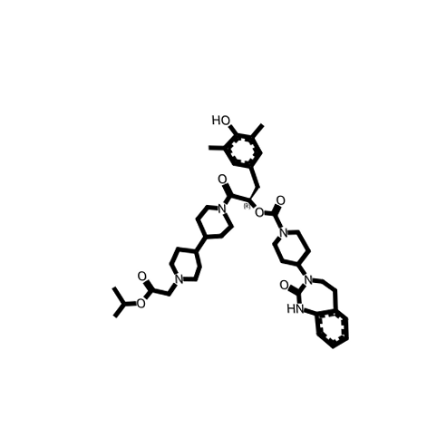 Cc1cc(C[C@@H](OC(=O)N2CCC(N3CCc4ccccc4NC3=O)CC2)C(=O)N2CCC(C3CCN(CC(=O)OC(C)C)CC3)CC2)cc(C)c1O